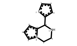 c1csc(C2NCCn3cccc32)c1